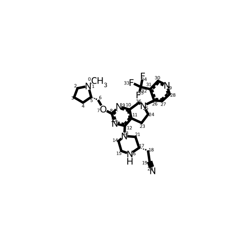 CN1CCC[C@H]1COc1nc2c(c(N3CCN[C@@H](CC#N)C3)n1)CCN(c1ccncc1C(F)(F)F)C2